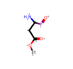 CCOC(=O)CC(N)P=O